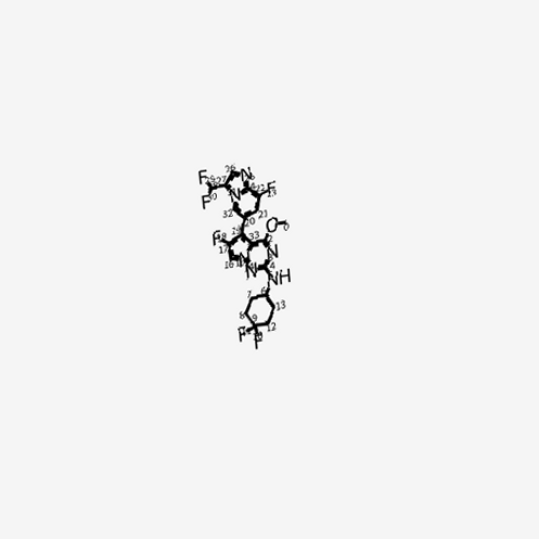 COc1nc(NC2CCC(F)(F)CC2)nn2cc(F)c(-c3cc(F)c4ncc(C(F)F)n4c3)c12